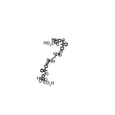 Cc1c(C(=O)c2ccc3[nH]c(=O)n(CC(=O)O)c(=O)c3c2)c2ccccn2c1-c1ccc(OCC(=O)NCCCCCCNC(=O)COc2ccc(-c3c(C)c(C(=O)c4ccc5[nH]c(=O)n(CC(=O)O)c(=O)c5c4)c4ccccn34)cc2)cc1